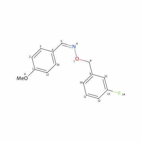 COc1ccc(/[C]=N\OCc2cccc(F)c2)cc1